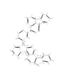 c1cc(-c2ccc3c4c(cccc24)-c2ccccc2-3)cc(-n2c3ccccc3c3c4ccc5sc6ccccc6c5c4ccc32)c1